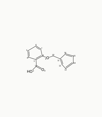 O=C(O)c1[c]cccc1OCc1ccccc1